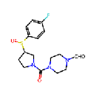 O=CN1CCN(C(=O)N2CCC([S+]([O-])c3ccc(F)cc3)C2)CC1